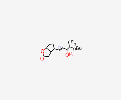 CCCCC(C(O)/C=C/C1CCC2OC(=O)CC12)C(F)(F)F